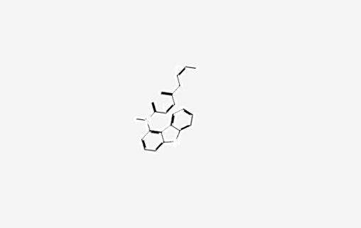 C=C(/C=C\C(=C)N(C)c1cccc2oc3ccccc3c12)C/C=C\C